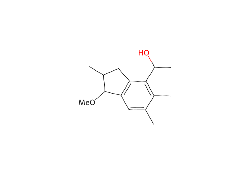 COC1c2cc(C)c(C)c(C(C)O)c2CC1C